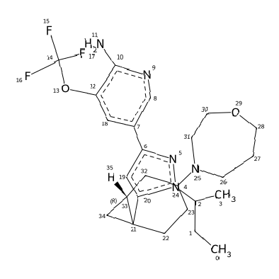 CCC(C)n1nc(-c2cnc(N)c(OC(F)(F)F)c2)cc1C12CCC(N3CCCOCC3)C[C@H]1C2